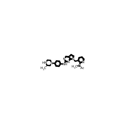 CC(=O)N(C)c1ncccc1Cn1ccc2cnc(Nc3ccc(N4CCN[C@@H](C)C4)cc3)nc21